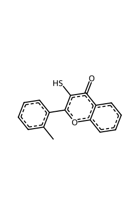 Cc1ccccc1-c1oc2ccccc2c(=O)c1S